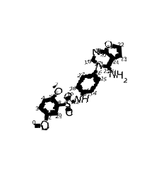 COc1ccc(OC)c(S(=O)(=O)Nc2ccc(N3CN=c4occc4=C3N)cc2)c1